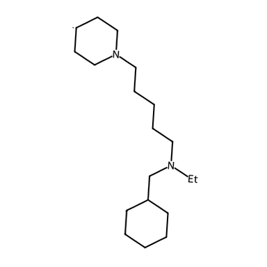 CCN(CCCCCN1CC[CH]CC1)CC1CCCCC1